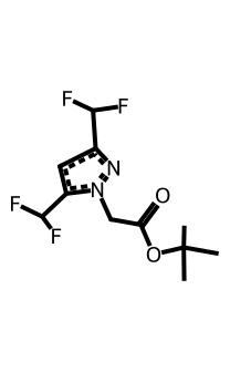 CC(C)(C)OC(=O)Cn1nc(C(F)F)cc1C(F)F